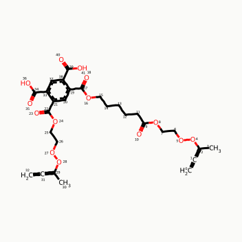 C=C=C(C)OOCCOC(=O)CCCCCOC(=O)c1cc(C(=O)OCCOOC(C)=C=C)c(C(=O)O)cc1C(=O)O